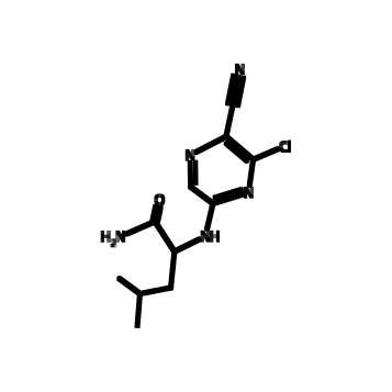 CC(C)CC(Nc1cnc(C#N)c(Cl)n1)C(N)=O